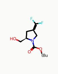 CC(C)(C)OC(=O)N1CC(=C(F)F)C[C@@H]1CO